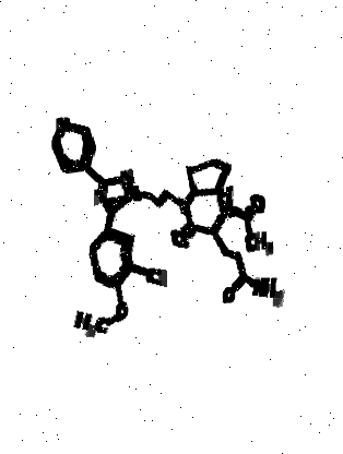 COc1ccc(-c2nc(-c3ccncc3)nn2CCN(C(=O)[C@H](CCC(N)=O)NC(C)=O)C2CCCC2)cc1Cl